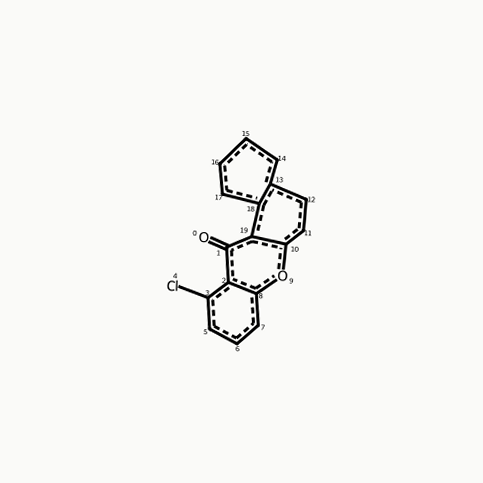 O=c1c2c(Cl)cccc2oc2ccc3ccccc3c12